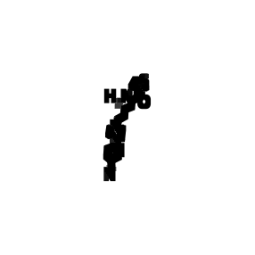 N#Cc1ccc(N2CCN(CCCC[C@H](N)C(=O)N3CCSC3)CC2)nc1